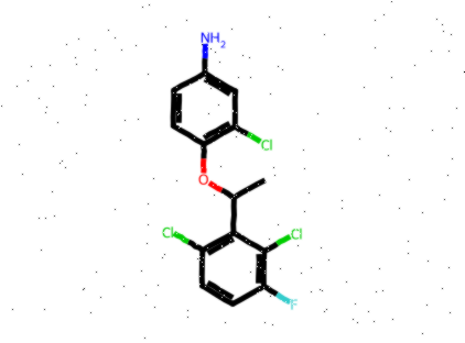 CC(Oc1ccc(N)cc1Cl)c1c(Cl)ccc(F)c1Cl